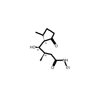 CCNC(=O)C[C@@H](C)[C@@H](O)[C@H]1C(=O)CCC1C